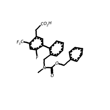 CN(Cc1ccccc1-c1cc(CC(=O)O)c(C(F)(F)F)cc1F)C(=O)OCc1ccccc1